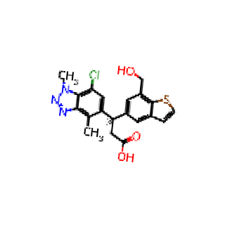 Cc1c([C@H](CC(=O)O)c2cc(CO)c3sccc3c2)cc(Cl)c2c1nnn2C